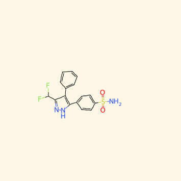 NS(=O)(=O)c1ccc(-c2[nH]nc(C(F)F)c2-c2ccccc2)cc1